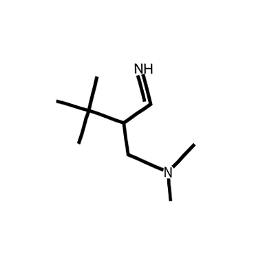 CN(C)CC(C=N)C(C)(C)C